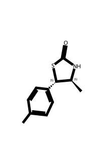 Cc1ccc([C@@H]2SC(=O)N[C@H]2C)cc1